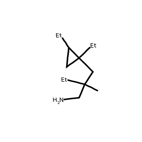 CCC1CC1(CC)CC(C)(CC)CN